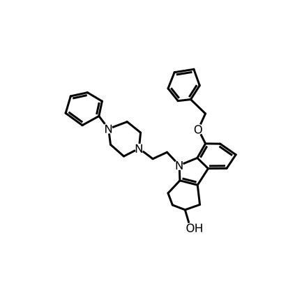 OC1CCc2c(c3cccc(OCc4ccccc4)c3n2CCN2CCN(c3ccccc3)CC2)C1